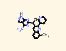 Cc1cccc2cc(C(C)c3nc(N)c4cn[nH]c4n3)c(-c3cccnc3)nc12